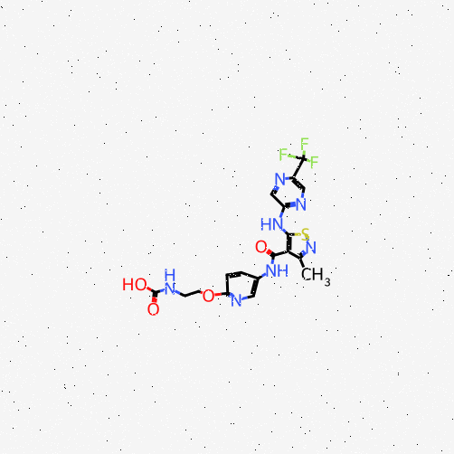 Cc1nsc(Nc2cnc(C(F)(F)F)cn2)c1C(=O)Nc1ccc(OCCNC(=O)O)nc1